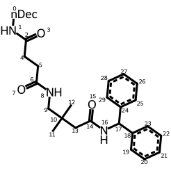 CCCCCCCCCCNC(=O)CCC(=O)NCC(C)(C)CC(=O)NC(c1ccccc1)c1ccccc1